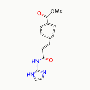 COC(=O)c1ccc(/C=C/C(=O)Nc2ncc[nH]2)cc1